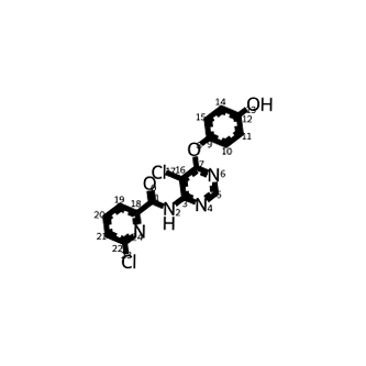 O=C(Nc1ncnc(Oc2ccc(O)cc2)c1Cl)c1cccc(Cl)n1